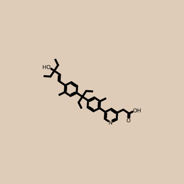 CCC(O)(C=Cc1ccc(C(CC)(CC)c2ccc(-c3cncc(CC(=O)O)c3)c(C)c2)cc1C)CC